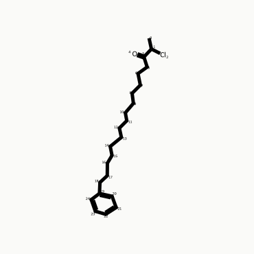 CC(Cl)C(=O)CCCCCCCCCCCCCCc1ccccc1